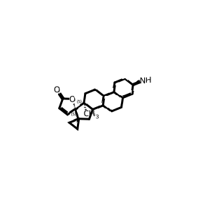 C[C@]12CCC3C4CCC(=N)C=C4CCC3C1CC1(CC1)[C@@]21C=CC(=O)O1